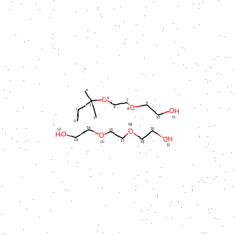 CCC(C)(C)OCCOCCO.OCCOCCOCCO